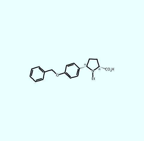 CCN1[C@@H](C(=O)O)CC[C@H]1c1ccc(OCc2ccccc2)cc1